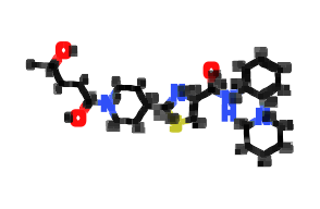 CC(=O)CCC(=O)N1CCC(c2nc(C(=O)Nc3ccccc3N3CCCCC3)cs2)CC1